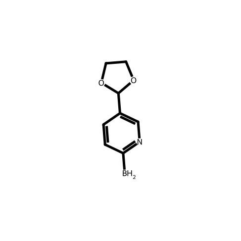 Bc1ccc(C2OCCO2)cn1